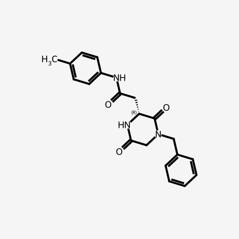 Cc1ccc(NC(=O)C[C@H]2NC(=O)CN(Cc3ccccc3)C2=O)cc1